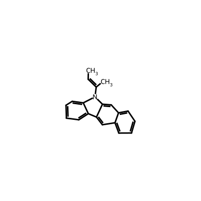 C/C=C(\C)n1c2ccccc2c2cc3ccccc3cc21